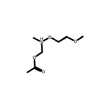 COCCO[SiH](C)COC(C)=O